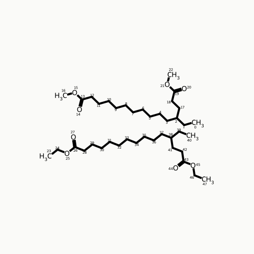 CCC(CCCCCCCCCCC(=O)OC)CCC(=O)OC.CCOC(=O)CCCCCCCCCCC(CC)CCC(=O)OCC